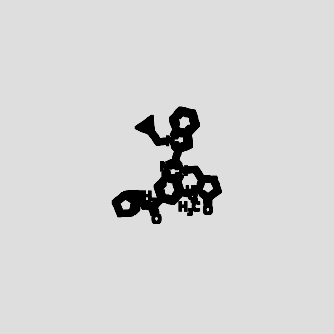 COc1cc(C(=O)N2CC3CCC2[C@@H]3N)cc2nc(-c3cc4ccccc4n3CC3CC3)n(CC3CCC(=O)N3)c12